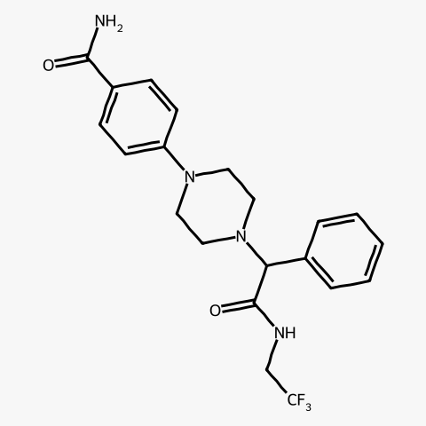 NC(=O)c1ccc(N2CCN(C(C(=O)NCC(F)(F)F)c3ccccc3)CC2)cc1